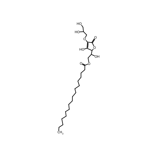 CCCCCCCCCCCCCCCCCC(=O)OCC(O)C1OC(=O)C(OCC(O)CO)=C1O